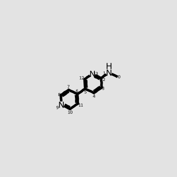 CNc1ccc(-c2ccncc2)cn1